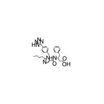 CCCCc1ncc(C(=O)NC(CC(=O)O)Cc2ccccc2)n1Cc1ccc(-c2nnn[nH]2)cc1